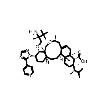 CC(C)[C@@H](C)[C@@]1(C)CC[C@]2(C)[C@H]3CC[C@@H]4CC[C@@H](n5ncnc5-c5ccncc5)[C@H](OC[C@](C)(N)C(C)(C)C)[C@@]4(C)CO[C@@H](C)CC3=CC[C@@]2(C)[C@@H]1C(=O)O